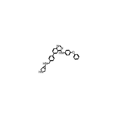 c1ccc(Oc2ccc(Nc3ncnc4ccc(-c5ccc(CNC6C7CNCC76)cc5)cc34)cc2)cc1